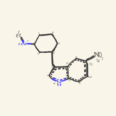 CCNC1CCCC(c2c[nH]c3ccc([N+](=O)[O-])cc23)C1